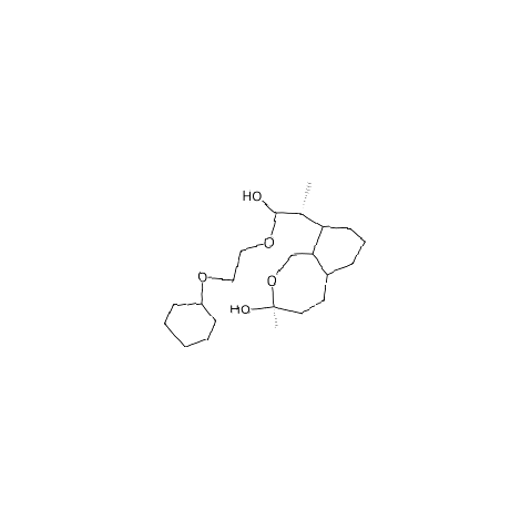 C[C@@H](C(O)OCCOC1CCCCC1)C1CCCC2CC[C@@](C)(O)OCC21